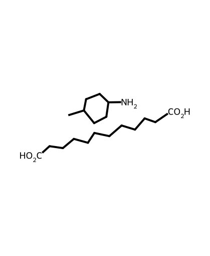 CC1CCC(N)CC1.O=C(O)CCCCCCCCCCC(=O)O